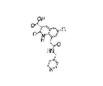 O=C(Cc1cc(Cl)cc2cc(C(=O)O)c(=O)[nH]c12)NCc1ccncc1